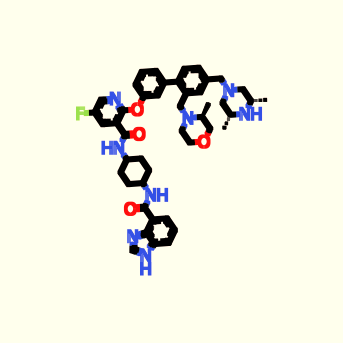 C[C@@H]1CN(Cc2ccc(-c3cccc(Oc4ncc(F)cc4C(=O)NC4CCC(NC(=O)c5cccc6[nH]cnc56)CC4)c3)c(CN3CCOC[C@@H]3C)c2)C[C@H](C)N1